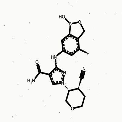 N#C[C@H]1CCOC[C@@H]1n1cc(C(N)=O)c(Nc2cc(F)c3c(c2)B(O)OC3)n1